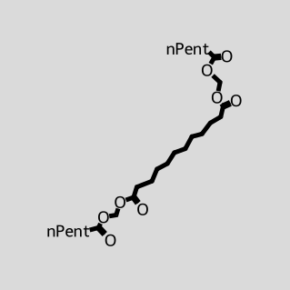 CCCCCC(=O)OCOC(=O)CCCCCCCCCCC(=O)OCOC(=O)CCCCC